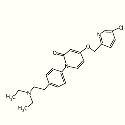 CCN(CC)CCc1ccc(-n2ccc(OCc3ccc(Cl)cn3)cc2=O)cc1